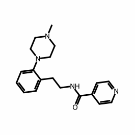 CN1CCN(c2ccccc2CCNC(=O)c2ccncc2)CC1